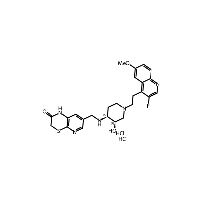 COc1ccc2ncc(F)c(CCN3CC[C@H](NCc4cnc5c(c4)NC(=O)CS5)[C@H](O)C3)c2c1.Cl.Cl